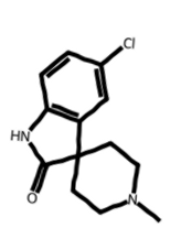 CN1CCC2(CC1)C(=O)Nc1ccc(Cl)cc12